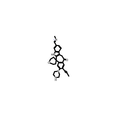 CC#Cc1cc2c(cc1N1CCNCC1)C1(CCOCC1)c1[nH]c3cc(/C=N/C)ccc3c1CC2=O